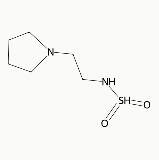 O=[SH](=O)NCCN1CCCC1